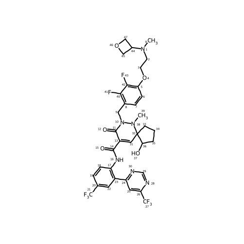 CN(CCOc1ccc(CN2C(=O)C(C(=O)Nc3ccc(C(F)(F)F)cc3-c3cc(C(F)(F)F)ncn3)=CC3(CCCC3O)N2C)c(F)c1F)C1COC1